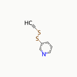 C#CSSc1cccnc1